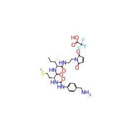 CC[C@H](C)[C@H](NC(=O)[C@H](CCSC)NC(=O)Nc1ccc(CN)cc1)C(=O)NCCN1C(=O)C=CC1=O.O=C(O)C(F)(F)F